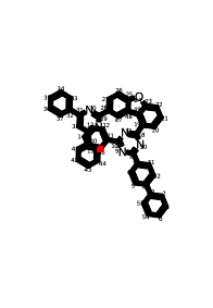 c1ccc(-c2ccc(-c3nc(-c4ccccc4)nc(-c4cccc5oc6ccc(-c7nc(-c8ccccc8)cc(-c8ccccc8)n7)cc6c45)n3)cc2)cc1